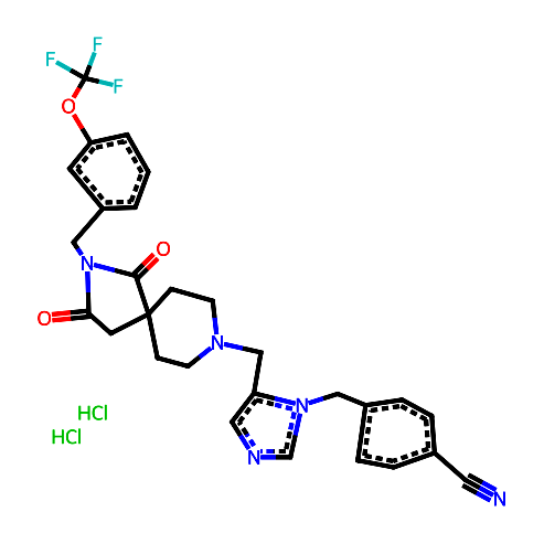 Cl.Cl.N#Cc1ccc(Cn2cncc2CN2CCC3(CC2)CC(=O)N(Cc2cccc(OC(F)(F)F)c2)C3=O)cc1